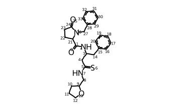 O=C(NC(CC(=S)NCC1CCCO1)Cc1ccccc1)C1CCC(=O)N1Cc1ccccc1